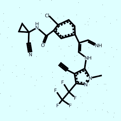 C#Cc1c(C(F)(F)C(F)(F)F)nn(C)c1N/C=C(\C=N)c1ccc(Cl)c(C(=O)NC2(C#N)CC2)c1